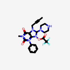 CC#CCN1c2c(n(-c3ccccc3)c(=O)n(C)c2=O)N(OC(=O)C(F)(F)F)C1N1CCNCC1